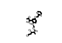 CC(=O)C(=N)c1cc(OCc2ncccn2)ccc1NCONC(C)[C@H](Cl)CCCl